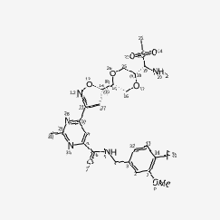 COc1cc(CNC(=O)c2cc(C3=NO[C@H]([C@H]4CO[C@@H](C(N)S(C)(=O)=O)CO4)C3)nc(C)n2)ccc1F